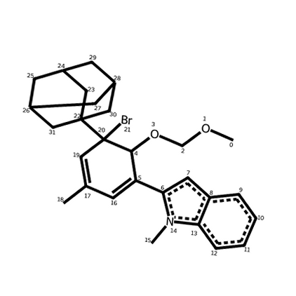 COCOC1C(c2cc3ccccc3n2C)=CC(C)=CC1(Br)C12CC3CC(CC(C3)C1)C2